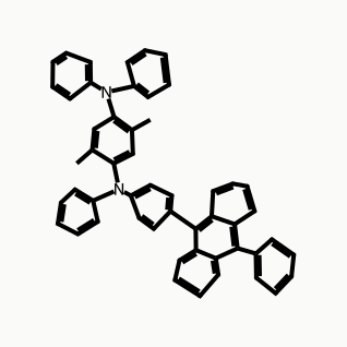 Cc1cc(N(c2ccccc2)c2ccc(-c3c4ccccc4c(-c4ccccc4)c4ccccc34)cc2)c(C)cc1N(c1ccccc1)c1ccccc1